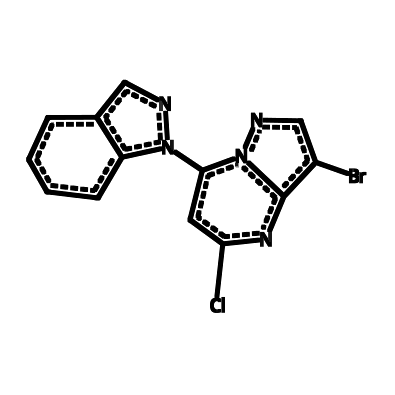 Clc1cc(-n2ncc3ccccc32)n2ncc(Br)c2n1